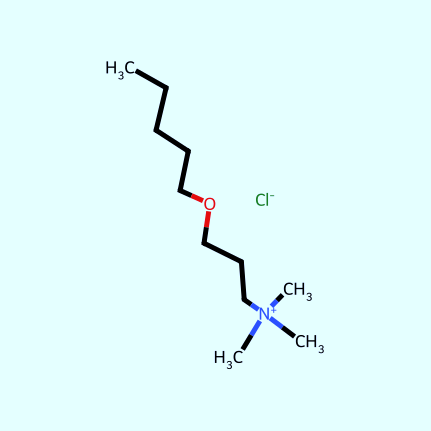 CCCCCOCCC[N+](C)(C)C.[Cl-]